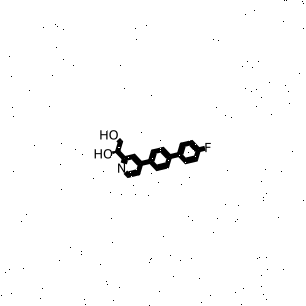 OC[C@H](O)c1cc(-c2ccc(-c3ccc(F)cc3)cc2)ccn1